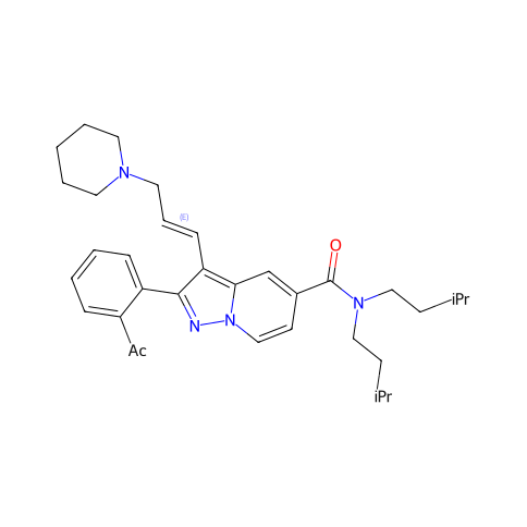 CC(=O)c1ccccc1-c1nn2ccc(C(=O)N(CCC(C)C)CCC(C)C)cc2c1/C=C/CN1CCCCC1